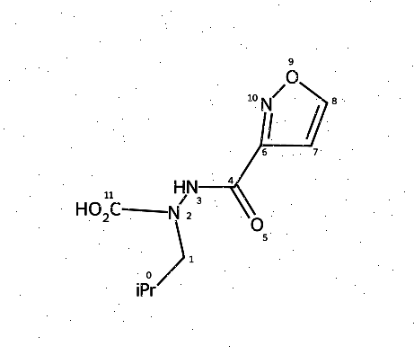 CC(C)CN(NC(=O)c1ccon1)C(=O)O